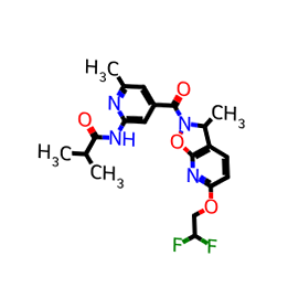 Cc1cc(C(=O)N2Oc3nc(OCC(F)F)ccc3C2C)cc(NC(=O)C(C)C)n1